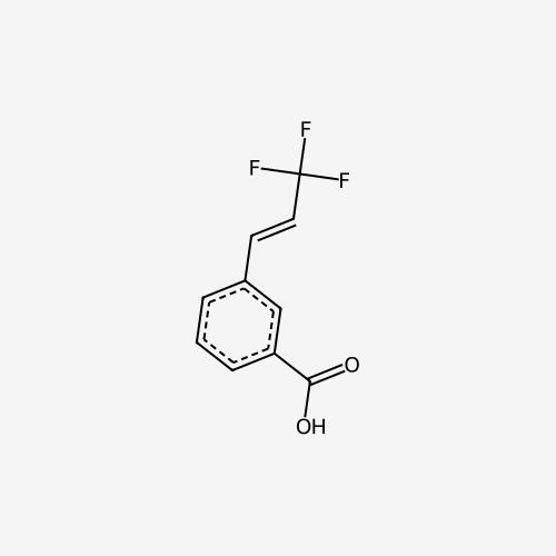 O=C(O)c1cccc(C=CC(F)(F)F)c1